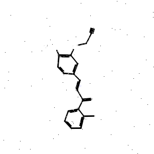 C#CCOc1cc(/C=C/C(=O)c2ccccc2C(=O)O)ccc1OC